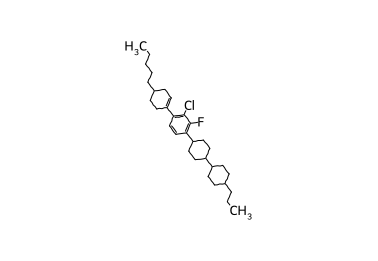 CCCCCC1CC=C(c2ccc(C3CCC(C4CCC(CCC)CC4)CC3)c(F)c2Cl)CC1